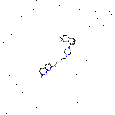 CC1(C)CCc2cccc(N3CCN(CCCCOc4ccc5ccc(=O)[nH]c5n4)CC3)c2C1